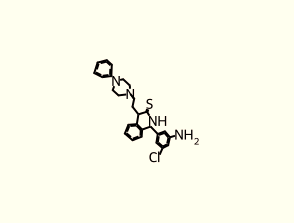 Nc1cc(Cl)cc(C2NC(=S)C(CCN3CCN(c4ccccc4)CC3)c3ccccc32)c1